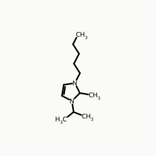 CCCCCN1C=CN(C(C)C)C1C